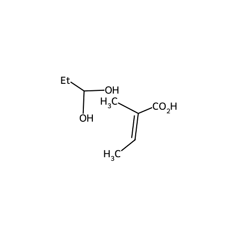 CC=C(C)C(=O)O.CCC(O)O